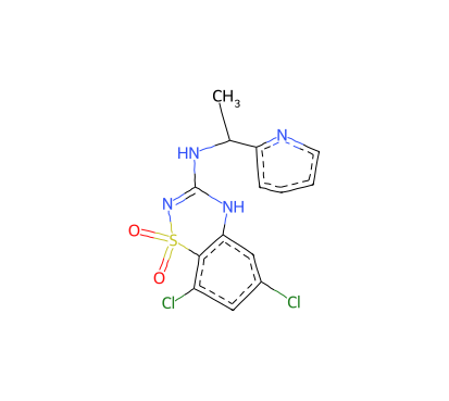 CC(NC1=NS(=O)(=O)c2c(Cl)cc(Cl)cc2N1)c1ccccn1